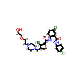 O=C(Nc1ccc(Cl)cc1)c1cc(Cl)ccc1NC(=O)c1scc(CN2CCN(CCOCCO)CC2)c1Cl